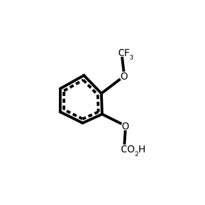 O=C(O)Oc1ccccc1OC(F)(F)F